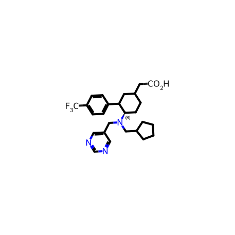 O=C(O)CC1CC[C@@H](N(Cc2cncnc2)CC2CCCC2)C(c2ccc(C(F)(F)F)cc2)C1